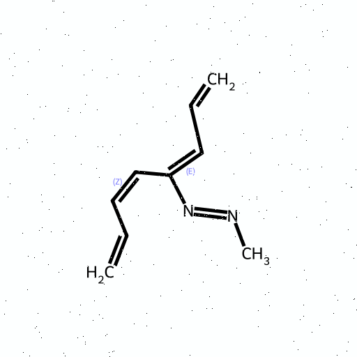 C=C/C=C\C(=C/C=C)N=NC